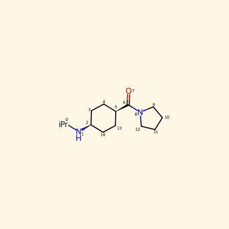 CC(C)N[C@H]1CC[C@@H](C(=O)N2CCCC2)CC1